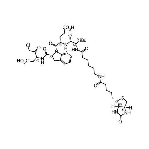 CC[C@H](C)[C@H](NC(=O)CCCCCNC(=O)CCCC[C@@H]1SC[C@@H]2NC(=O)N[C@@H]21)C(=O)N[C@@H](CCC(=O)O)C(=O)N1c2ncccc2C[C@H]1C(=O)N[C@@H](CC(=O)O)C(=O)CCl